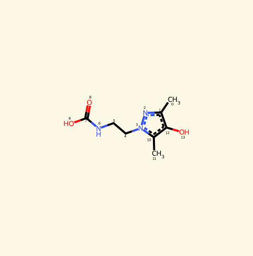 Cc1nn(CCNC(=O)O)c(C)c1O